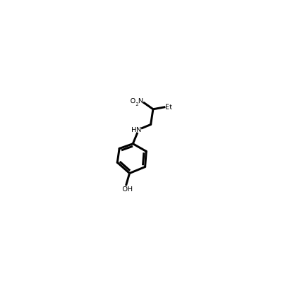 CCC(CNc1ccc(O)cc1)[N+](=O)[O-]